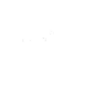 O=C(O)c1ccc2ccccc2n1.[Zn]